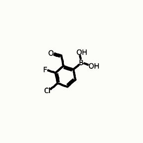 O=Cc1c(B(O)O)ccc(Cl)c1F